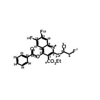 CCOC(=O)c1c(SC(Cl)CF)nc2cc(F)c(F)cc2c1OC(=O)c1ccccc1